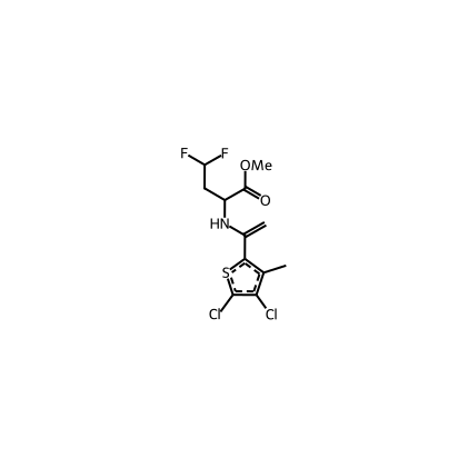 C=C(NC(CC(F)F)C(=O)OC)c1sc(Cl)c(Cl)c1C